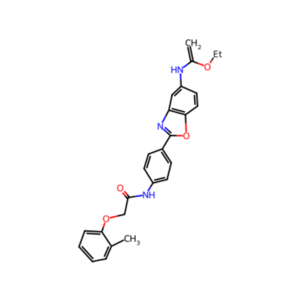 C=C(Nc1ccc2oc(-c3ccc(NC(=O)COc4ccccc4C)cc3)nc2c1)OCC